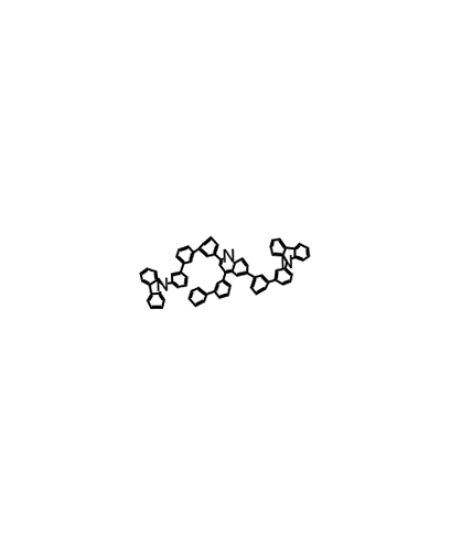 c1ccc(-c2cccc(-c3cc(-c4cccc(-c5cccc(-c6cccc(-n7c8ccccc8c8ccccc87)c6)c5)c4)nc4ccc(-c5cccc(-c6cccc(-n7c8ccccc8c8ccccc87)c6)c5)cc34)c2)cc1